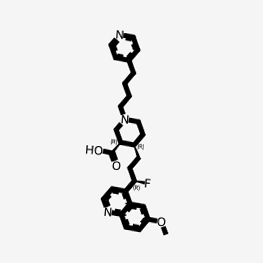 COc1ccc2nccc([C@H](F)CC[C@@H]3CCN(CCCCc4ccncc4)C[C@@H]3C(=O)O)c2c1